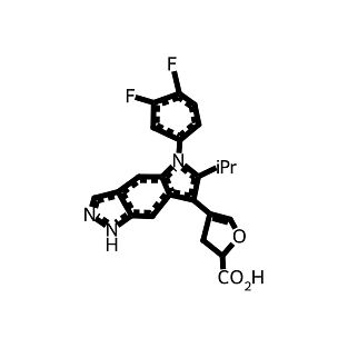 CC(C)c1c(C2=COC(C(=O)O)C2)c2cc3[nH]ncc3cc2n1-c1ccc(F)c(F)c1